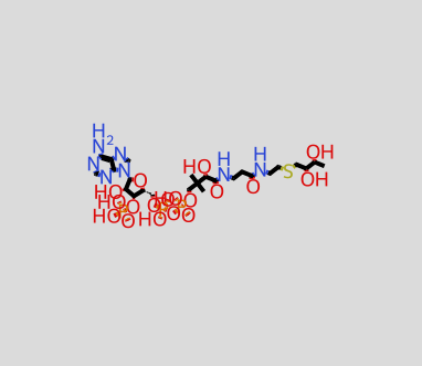 CC(O)C(O)CSCCNC(=O)CCNC(=O)C(O)C(C)(C)COP(=O)(O)OP(=O)(O)OC[C@H]1O[C@@H](n2cnc3c(N)ncnc32)[C@H](O)[C@@H]1OP(=O)(O)O